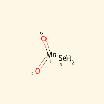 [O]=[Mn]=[O].[SeH2]